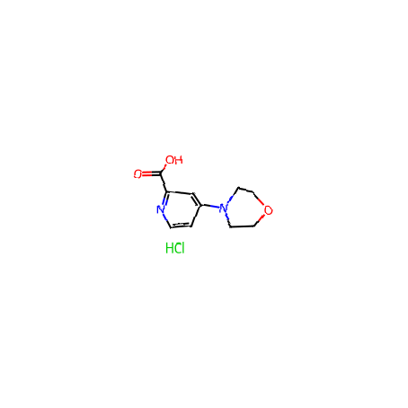 Cl.O=C(O)c1cc(N2CCOCC2)ccn1